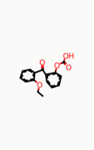 CCOc1ccccc1C(=O)c1ccccc1OC(=O)O